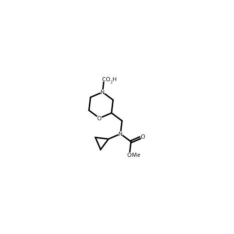 COC(=O)N(CC1CN(C(=O)O)CCO1)C1CC1